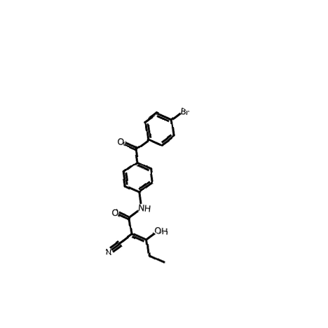 CCC(O)=C(C#N)C(=O)Nc1ccc(C(=O)c2ccc(Br)cc2)cc1